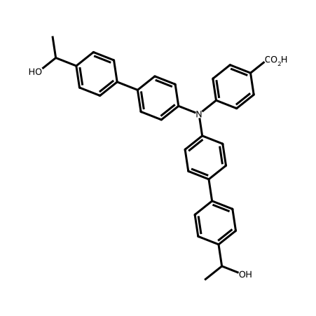 CC(O)c1ccc(-c2ccc(N(c3ccc(C(=O)O)cc3)c3ccc(-c4ccc(C(C)O)cc4)cc3)cc2)cc1